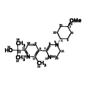 CO[C@H]1CC[C@H](N2C=C(c3ccc(C(C)(C)O)nc3C)N=CC2)CC1